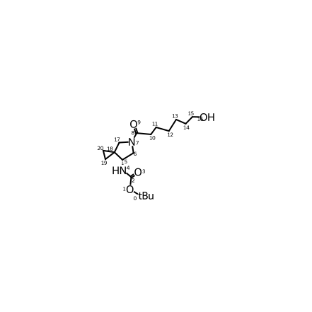 CC(C)(C)OC(=O)N[C@H]1CN(C(=O)CCCCCCO)CC12CC2